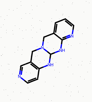 c1cnc2c(c1)CN1Cc3cnccc3NC1N2